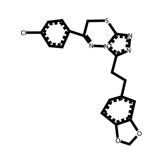 Clc1ccc(C2=Nn3c(CCc4ccc5c(c4)OCO5)nnc3SC2)cc1